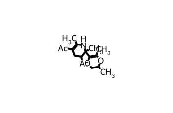 CC(=O)C1=C(C)NC(C)(C2=C(C)OC(C)CO2)C(C(C)=O)C1